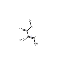 O=C(O)/C(=N\O)C(=O)CCl